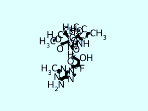 COC(=O)[C@H](CC(C)C)NP(=O)(N[C@@H](CC(C)C)C(=O)OC)OC[C@H]1O[C@@H](n2cnc3c(N)nc(C)nc32)[C@H](F)C1O